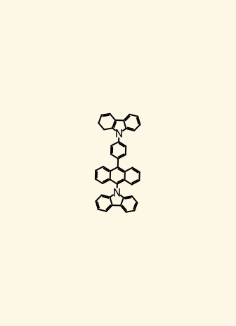 C1=Cc2c(n(-c3ccc(-c4c5ccccc5c(-n5c6ccccc6c6ccccc65)c5ccccc45)cc3)c3ccccc23)CC1